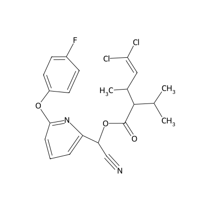 CC(C)C(C(=O)OC(C#N)c1cccc(Oc2ccc(F)cc2)n1)C(C)C=C(Cl)Cl